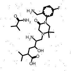 CC(C)C(CC(O)C(N)CN1CC(=O)N(c2cc(F)ccc2CN)CC1(C)C)C(=O)O.CC(C)C(N)=O